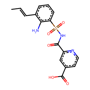 CC=Cc1cccc(S(=O)(=O)NC(=O)c2cc(C(=O)O)ccn2)c1N